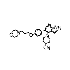 N#CC1CCN(c2c(-c3ccc(OCCCN4CCOCC4)cc3)cnc3[nH]ccc23)CC1